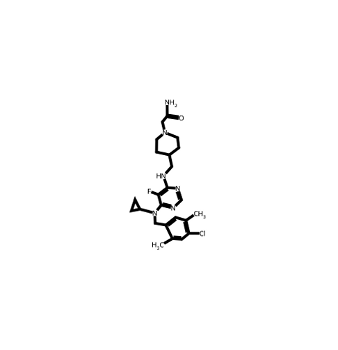 Cc1cc(CN(c2ncnc(NCC3CCN(CC(N)=O)CC3)c2F)C2CC2)c(C)cc1Cl